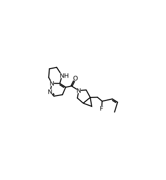 C/C=C\C(F)CC12CC1CN(C(=O)C1=C3NCCCN3N=CC1)C2